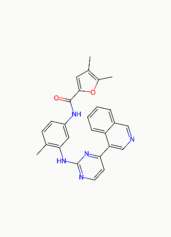 Cc1ccc(NC(=O)c2cc(C)c(C)o2)cc1Nc1nccc(-c2cncc3ccccc23)n1